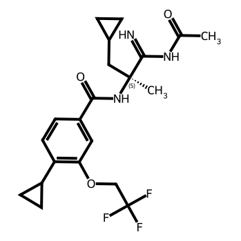 CC(=O)NC(=N)[C@](C)(CC1CC1)NC(=O)c1ccc(C2CC2)c(OCC(F)(F)F)c1